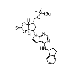 CC(C)(C)[Si](C)(C)OC[C@@H]1C[C@@H](n2ccc3c(N[C@H]4CCc5ccccc54)ncnc32)[C@@H]2OC(=S)O[C@H]12